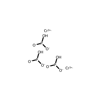 [Cr+3].[Cr+3].[O-]P([O-])O.[O-]P([O-])O.[O-]P([O-])O